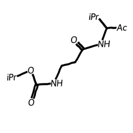 CC(=O)C(NC(=O)CCNC(=O)OC(C)C)C(C)C